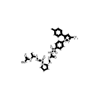 Cc1ccc(-c2cc(C(F)(F)F)nn2-c2ccc(S(=O)(=O)NC(=O)OC[C@@H]3CCCN3[N+]([O-])=NOC(C)OC(=O)C(C)(C)C)cc2)cc1